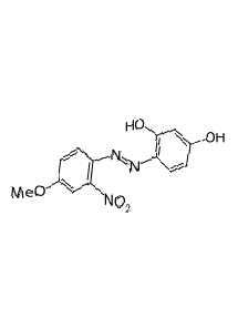 COc1ccc(N=Nc2ccc(O)cc2O)c([N+](=O)[O-])c1